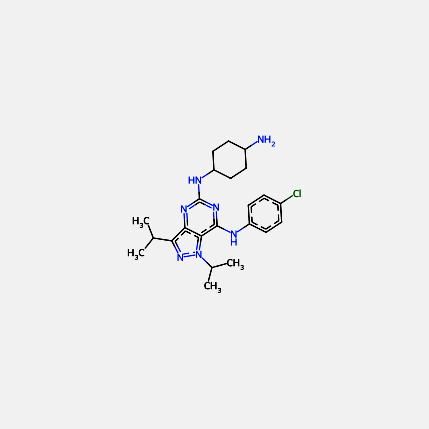 CC(C)c1nn(C(C)C)c2c(Nc3ccc(Cl)cc3)nc(NC3CCC(N)CC3)nc12